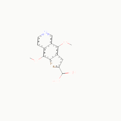 COc1c2cnccc2c(OC)c2sc(C(O)O)cc12